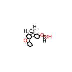 CC1(C)c2cc(OBO)ccc2-c2c1ccc1oc3ccccc3c21